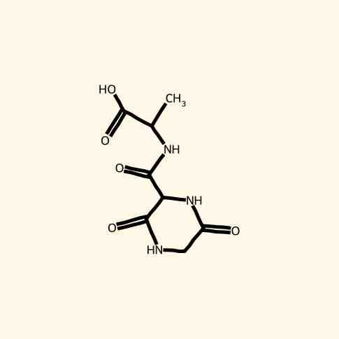 CC(NC(=O)C1NC(=O)CNC1=O)C(=O)O